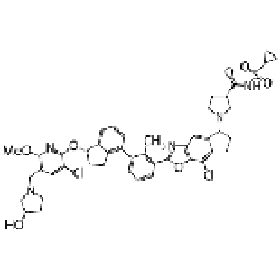 COc1nc(O[C@H]2CCc3c(-c4cccc(-c5nc6cc7c(c(Cl)c6o5)CC[C@H]7N5CC[C@@H](C(=O)NS(=O)(=O)C6CC6)C5)c4C)cccc32)c(Cl)cc1CN1CC[C@@H](O)C1